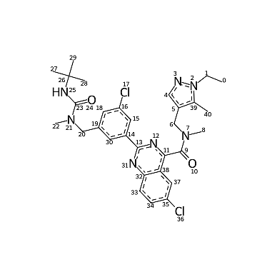 CCn1ncc(CN(C)C(=O)c2nc(-c3cc(Cl)cc(CN(C)C(=O)NC(C)(C)C)c3)nc3ccc(Cl)cc23)c1C